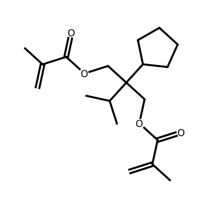 C=C(C)C(=O)OCC(COC(=O)C(=C)C)(C(C)C)C1CCCC1